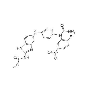 COC(=O)Nc1nc2cc(Sc3ccc(N(C(N)=O)c4cc([N+](=O)[O-])ccc4F)cc3)ccc2[nH]1